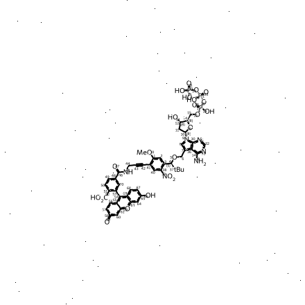 COc1cc([C@@H](OCc2cn([C@H]3C[C@@H](O)[C@@H](COP(=O)(O)OP(=O)(O)OP(=O)(O)O)O3)c3ncnc(N)c23)C(C)(C)C)c([N+](=O)[O-])cc1C#CCNC(=O)c1ccc(C(=O)O)c(-c2c3ccc(=O)cc-3oc3cc(O)ccc23)c1